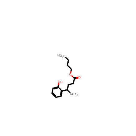 CC(=O)NC(CCC(=O)OCCCC(=O)O)c1ccccc1O